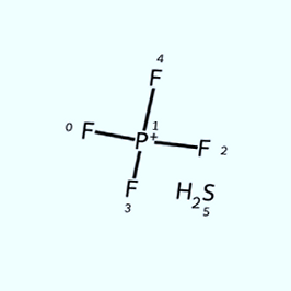 F[P+](F)(F)F.S